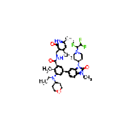 CCN(c1cc(-c2ccc3c(c2)n(C2CCN(C(F)C(F)F)CC2)c(=O)n3C)cc(C(=O)NCc2c(C)cc(C)[nH]c2=O)c1C)C1CCOCC1